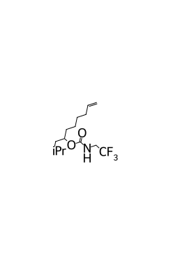 C=CCCCCC(CC(C)C)OC(=O)NCC(F)(F)F